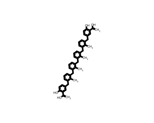 C=C(O)c1cc(Cc2cccc(Cc3cccc(Cc4cccc(Cc5cccc(Cc6ccc(O)c(C(=C)O)c6)c5C)c4C)c3C)c2C)ccc1O